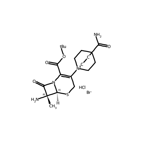 CC(C)(C)OC(=O)C1=C([N+]23CCC(C(N)=O)(CC2)CC3)CS[C@@H]2N1C(=O)[C@@]2(C)N.Cl.[Br-]